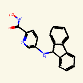 O=C(NO)c1ccc(NC2c3ccccc3-c3ccccc32)cn1